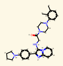 Cc1cccc(N2CCN(C(=O)CNc3c(-c4ccc(N5CCCC5)cc4)nc4ccccn34)CC2)c1C